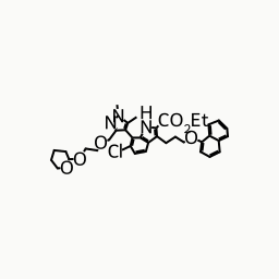 CCOC(=O)c1[nH]c2c(-c3c(COCCOC4CCCCO4)nn(C)c3C)c(Cl)ccc2c1CCCOc1cccc2ccccc12